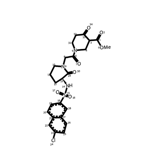 COC(=O)C1CN(C(=O)CN2CCC[C@H](NS(=O)(=O)c3ccc4cc(Cl)ccc4c3)C2=O)CCC1=O